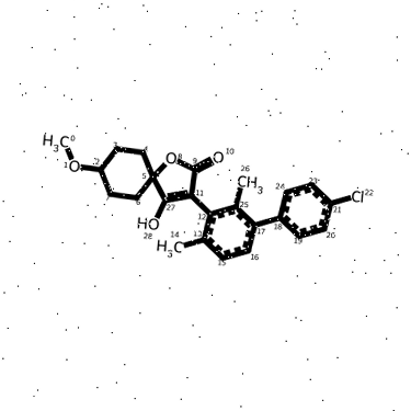 COC1CCC2(CC1)OC(=O)C(c1c(C)ccc(-c3ccc(Cl)cc3)c1C)=C2O